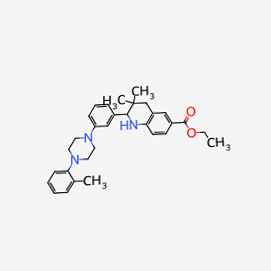 CCOC(=O)c1ccc2c(c1)CC(C)(C)C(c1cccc(N3CCN(c4ccccc4C)CC3)c1)N2